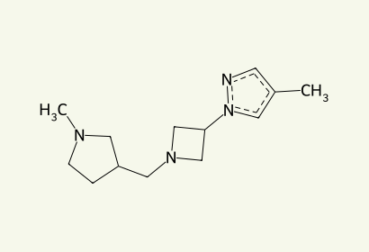 Cc1cnn(C2CN(CC3CCN(C)C3)C2)c1